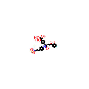 CS(=O)(=O)NCCCc1ccc(N2C(=O)[C@H](CCC(O)c3ccc(F)cc3)[C@H]2c2ccc(C(O)(CO)CO)cc2)cc1